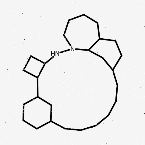 C1CCCC2CCC3CCCCN(NC4CCC4C4CCCC(CC1)C4)C3C2